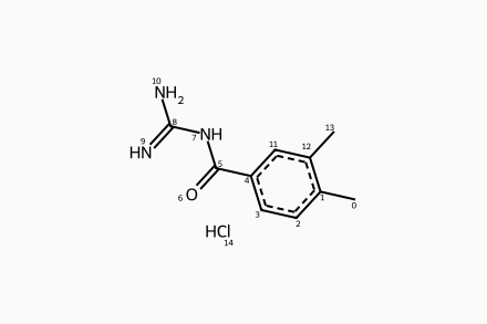 Cc1ccc(C(=O)NC(=N)N)cc1C.Cl